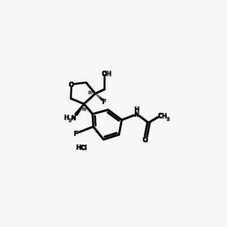 CC(=O)Nc1ccc(F)c([C@]2(N)COC[C@@]2(F)CO)c1.Cl